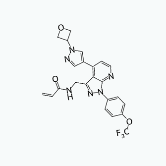 C=CC(=O)NCc1nn(-c2ccc(OC(F)(F)F)cc2)c2nccc(-c3cnn(C4COC4)c3)c12